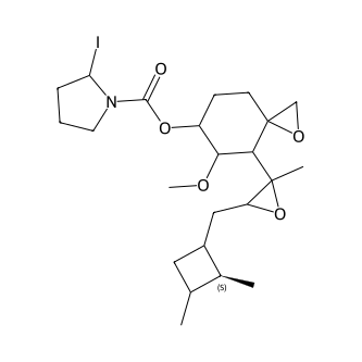 COC1C(OC(=O)N2CCCC2I)CCC2(CO2)C1C1(C)OC1CC1CC(C)[C@@H]1C